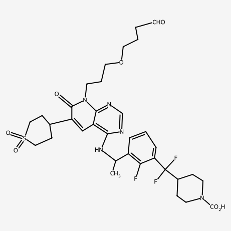 CC(Nc1ncnc2c1cc(C1CCS(=O)(=O)CC1)c(=O)n2CCCOCCCC=O)c1cccc(C(F)(F)C2CCN(C(=O)O)CC2)c1F